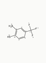 Bc1cc(C(F)(F)F)ccc1S